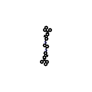 CC1(C)c2cc(/C=C/c3cccc4c(/C=C/c5ccc6c(c5)C(C)(C)c5cc(N(c7ccccc7)c7cccc8ccccc78)ccc5-6)cccc34)ccc2-c2ccc(N(c3ccccc3)c3cccc4c3CCC=C4)cc21